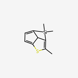 CC1=C2C3C(=CC=C3[Si]2(C)C)S1